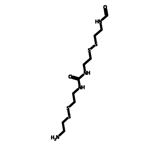 NCCSSCCNC(=O)NCCSSCCNC=O